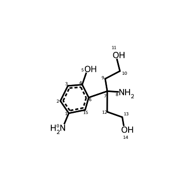 Nc1ccc(O)c(C(N)(CCO)CCO)c1